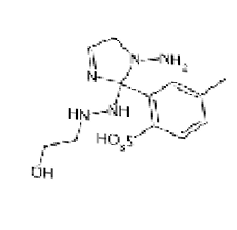 Cc1ccc(S(=O)(=O)O)c(C2(NNCCO)N=CCN2N)c1